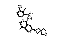 CC[C@@H](Nc1nnc(C)c2cnc(N3CC4(CCOC4)C3)cc12)c1cccc(C#N)c1C